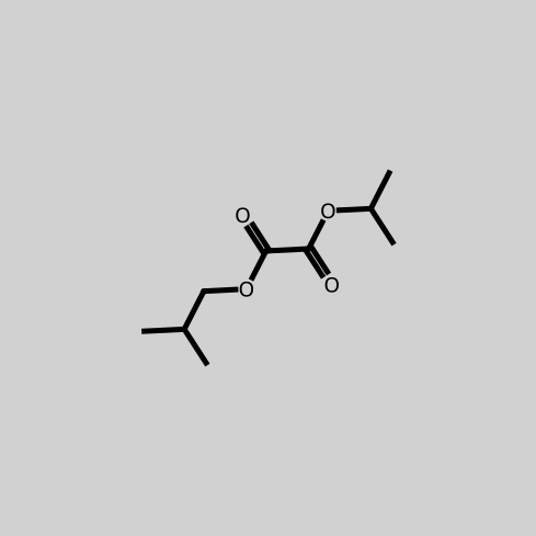 CC(C)COC(=O)C(=O)OC(C)C